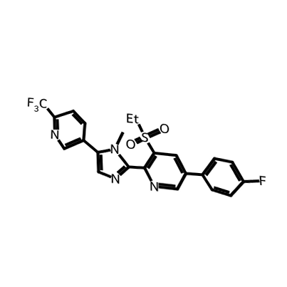 CCS(=O)(=O)c1cc(-c2ccc(F)cc2)cnc1-c1ncc(-c2ccc(C(F)(F)F)nc2)n1C